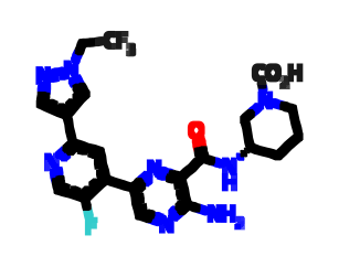 Nc1ncc(-c2cc(-c3cnn(CC(F)(F)F)c3)ncc2F)nc1C(=O)N[C@H]1CCCN(C(=O)O)C1